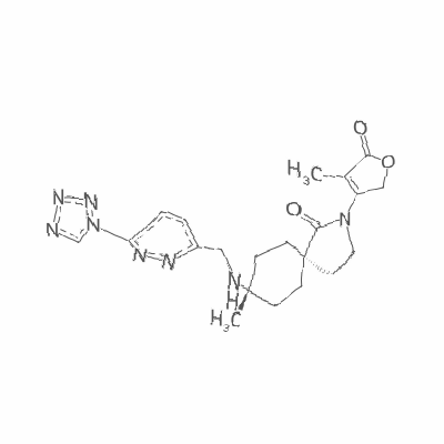 CC1=C(N2CC[C@]3(CC[C@@](C)(NCc4ccc(-n5cnnn5)nn4)CC3)C2=O)COC1=O